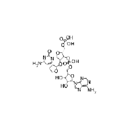 Nc1ccn([C@@H]2O[C@H](COP(=O)(O)O)[C@@H](OP(=O)(O)OC[C@H]3O[C@@H](n4cnc5c(N)ncnc54)C(O)C3O)[C@H]2OC2CCCO2)c(=O)n1